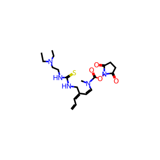 C=C/C=C(\C=C/N(C)C(=O)ON1C(=O)CCC1=O)CNC(=S)NCCN(CC)CC